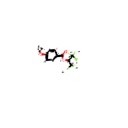 COc1ccc(C(=O)OC(C(F)F)C(F)(F)F)cc1